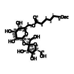 CCCCCCCCCCCCCCC(=O)OC[C@H]1O[C@H](O[C@]2(CO)O[C@H](CO)[C@@H](O)[C@@H]2O)[C@H](O)[C@@H](O)[C@@H]1O